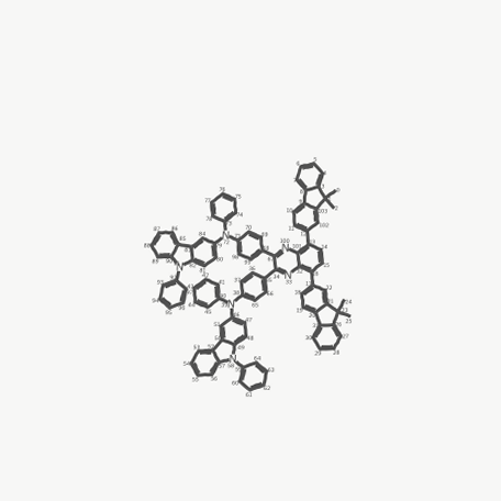 CC1(C)c2ccccc2-c2ccc(-c3ccc(-c4ccc5c(c4)C(C)(C)c4ccccc4-5)c4nc(-c5ccc(N(c6ccccc6)c6ccc7c(c6)c6ccccc6n7-c6ccccc6)cc5)c(-c5ccc(N(c6ccccc6)c6ccc7c(c6)c6ccccc6n7-c6ccccc6)cc5)nc34)cc21